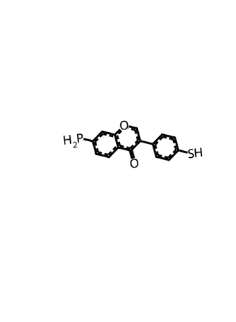 O=c1c(-c2ccc(S)cc2)coc2cc(P)ccc12